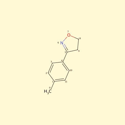 Cc1ccc(C2=NO[CH]C2)cc1